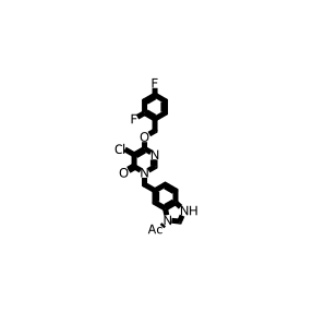 CC(=O)N1CNc2ccc(Cn3cnc(OCc4ccc(F)cc4F)c(Cl)c3=O)cc21